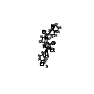 CCn1c(NCc2ccc(C(F)(F)F)cc2)nc2c(c1=O)CN(C(=O)c1ccc3cccnc3c1)CC2